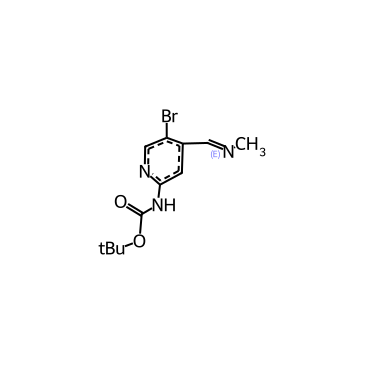 C/N=C/c1cc(NC(=O)OC(C)(C)C)ncc1Br